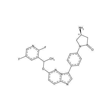 CC(Oc1ccc2ncc(-c3ccc(N4C[C@@H](N)CC4=O)cc3)n2n1)c1cc(F)cnc1F